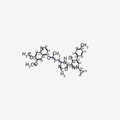 C=N/C(=C\C=C(/C)Oc1ccnc2cc(OC)c(OC)cc12)NC(=O)c1nn(C2CC2)cc(-c2ccc(C)cc2)c1=O